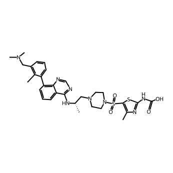 Cc1nc(NC(=O)O)sc1S(=O)(=O)N1CCN(C[C@H](C)Nc2ncnc3c(-c4cccc(CN(C)C)c4C)cccc23)CC1